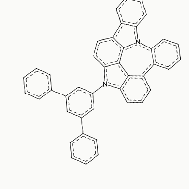 c1ccc(-c2cc(-c3ccccc3)cc(-n3c4cccc5c6ccccc6n6c7ccccc7c7ccc3c(c54)c76)c2)cc1